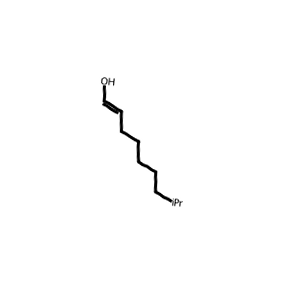 CC(C)CCCCCC=CO